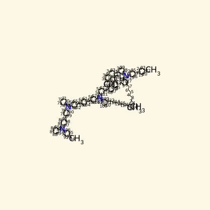 CCCCCCCCc1cccc(N(c2ccc(-c3ccc(C)cc3)cc2)c2cccc(-c3ccc4ccc(C)c(-c5c(C)ccc6ccc(-c7cccc(N(c8ccc(-c9ccc(-c%10ccc(N(c%11ccccc%11)c%11ccc(-c%12ccc(N(c%13ccccc%13)c%13ccc(C)cc%13)cc%12)cc%11)cc%10)cc9)cc8)c8cccc(CCCCCCCC)c8)c7)cc56)c4c3)c2)c1